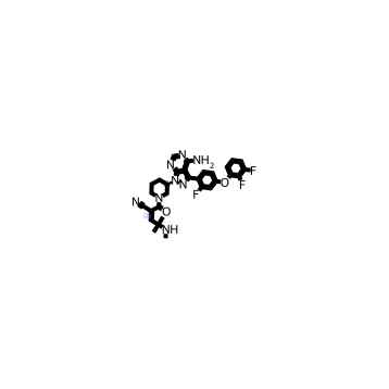 CNC(C)(C)/C=C(/C#N)C(=O)N1CCC[C@@H](n2nc(-c3ccc(Oc4cccc(F)c4F)cc3F)c3c(N)ncnc32)C1